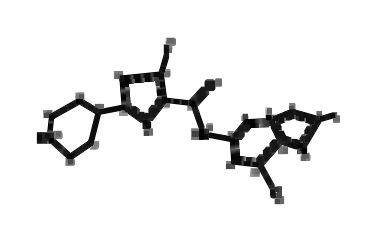 Cc1cn2cc(NC(=O)c3sc(C4CCNCC4)cc3F)cc(Cl)c2n1